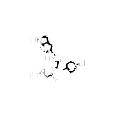 CC(C)N(C)[C@@H](C)C(=O)N[C@@H](Cc1ccc(Cl)cc1)C(=O)NCc1cnc2[nH]ccc2c1